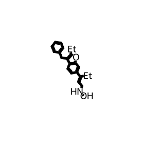 CC/C(=C\CNO)c1ccc2c(Cc3ccccc3)c(CC)oc2c1